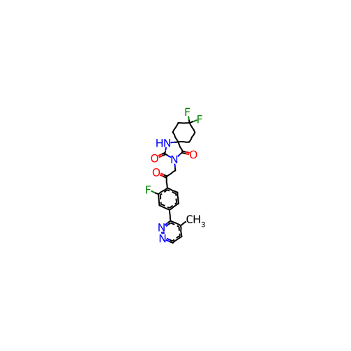 Cc1ccnnc1-c1ccc(C(=O)CN2C(=O)NC3(CCC(F)(F)CC3)C2=O)c(F)c1